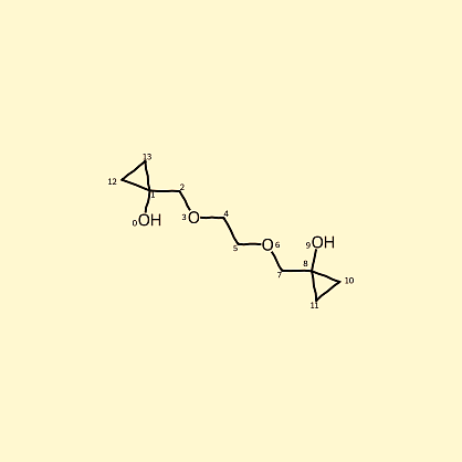 OC1(COCCOCC2(O)CC2)CC1